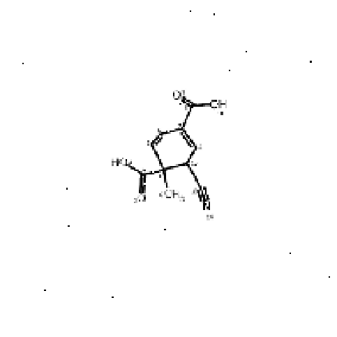 CC1(C(=O)O)C=CC(C(=O)O)=CC1C#N